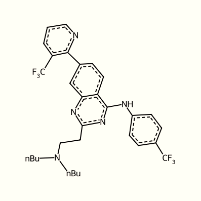 CCCCN(CCCC)CCc1nc(Nc2ccc(C(F)(F)F)cc2)c2ccc(-c3ncccc3C(F)(F)F)cc2n1